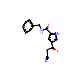 N#CCC(=O)c1c[nH]c(C(=O)NCc2ccccc2)c1